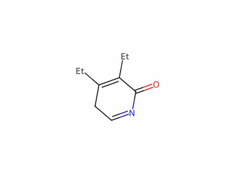 CCC1=C(CC)C(=O)N=CC1